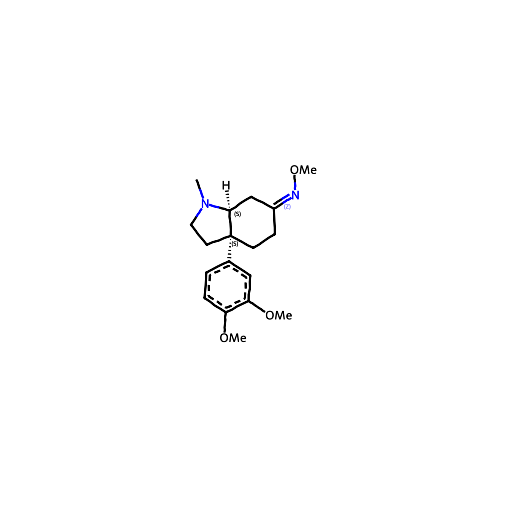 CO/N=C1/CC[C@@]2(c3ccc(OC)c(OC)c3)CCN(C)[C@H]2C1